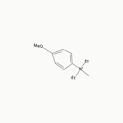 C[CH][N+](C)(CC)c1ccc(OC)cc1